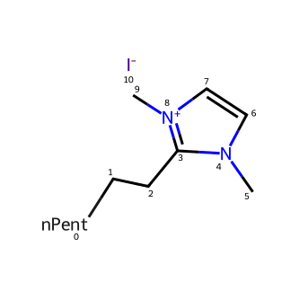 CCCCCCCc1n(C)cc[n+]1C.[I-]